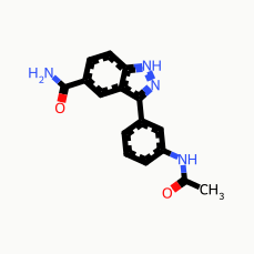 CC(=O)Nc1cccc(-c2n[nH]c3ccc(C(N)=O)cc23)c1